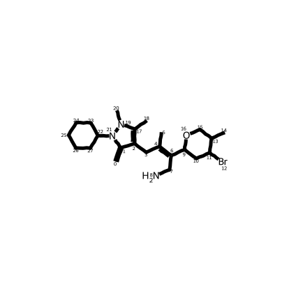 C=C1C(C/C(C)=C(\CN)C2CC(Br)C(C)CO2)=C(C)N(C)N1C1CCCCC1